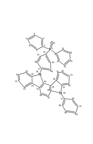 O=P(c1ccccc1)(c1ccccc1)c1ccc(-n2c3ccccc3c3ccc4c(c5ccccc5n4-c4ccccc4)c32)cc1